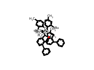 CC1=Cc2c(-c3ccccc3)cccc2[CH]1[Zr]([CH3])([CH3])(=[SiH2])([O]c1ccc(C)cc1C(C)(C)C)([O]c1ccc(C)cc1C(C)(C)C)[CH]1C(C)=Cc2c(-c3ccccc3)cccc21